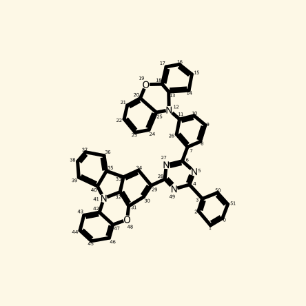 c1ccc(-c2nc(-c3cccc(N4c5ccccc5Oc5ccccc54)c3)nc(-c3cc4c5c(c3)c3ccccc3n5-c3ccccc3O4)n2)cc1